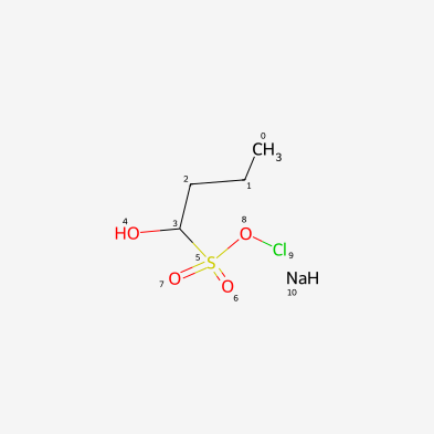 CCCC(O)S(=O)(=O)OCl.[NaH]